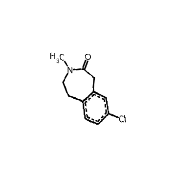 CN1CCc2ccc(Cl)cc2CC1=O